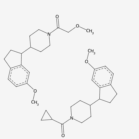 COCC(=O)N1CCC(C2CCc3ccc(OC)cc32)CC1.COc1ccc2c(c1)C(C1CCN(C(=O)C3CC3)CC1)CC2